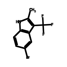 Cc1[nH]c2ccc(Br)cc2c1C(F)(F)F